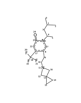 CC(C)CC(C)n1cc(CCN2CC3(CC3)C2)c(C(F)(F)F)cc1=O